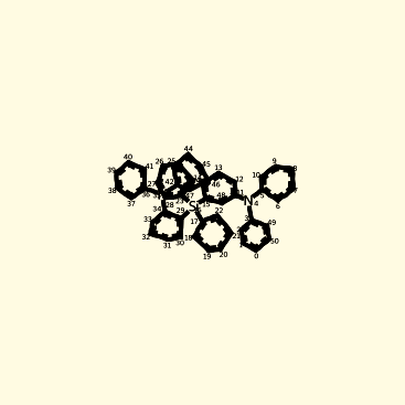 c1ccc(N(c2ccccc2)c2cccc([Si](c3ccccc3)(c3ccccc3)c3ccccc3N(c3ccccc3)c3ccccc3)c2)cc1